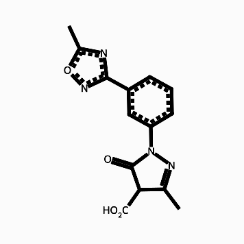 CC1=NN(c2cccc(-c3noc(C)n3)c2)C(=O)C1C(=O)O